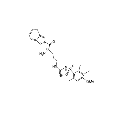 COc1cc(C)c(S(=O)(=O)NC(=N)NCCC[C@H](N)C(=O)N2C=C3CC=CC=C3S2)c(C)c1C